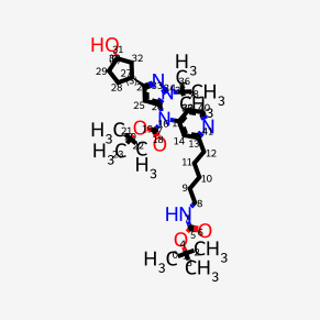 CC(C)(C)OC(=O)NCCCCCc1cc(N(C(=O)OC(C)(C)C)c2cc([C@H]3CC[C@@H](O)C3)nn2C(C)(C)C)ccn1